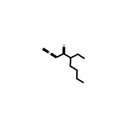 C=C=CC(=O)C(CC)CCCC